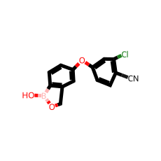 N#Cc1ccc(Oc2ccc3c(c2)COB3O)cc1Cl